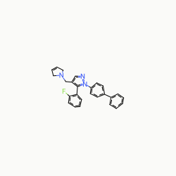 Fc1ccccc1-c1c(CN2CC=CC2)cnn1-c1ccc(-c2ccccc2)cc1